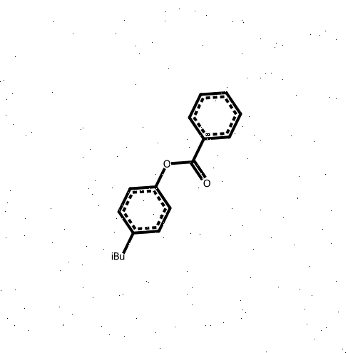 CCC(C)c1ccc(OC(=O)c2ccccc2)cc1